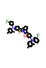 Cc1ccc(N(c2cccc(F)c2)c2ccc3c(c2)oc2c3c3cccc4c5c6ccc(N(c7cccc(F)c7)c7ccc(C)cc7C)cc6sc5n2c34)c(C)c1